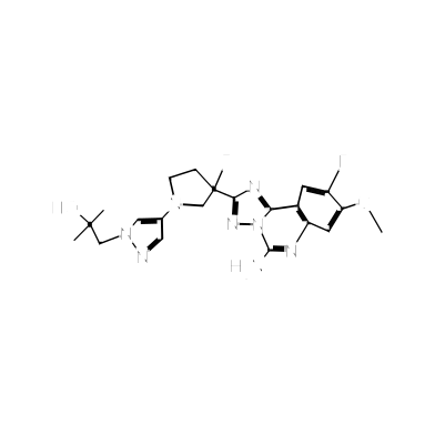 COc1cc2nc(N)n3nc(C4(F)CCN(c5cnn(CC(C)(C)O)c5)C4)nc3c2cc1F